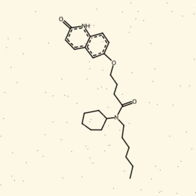 CCCCCCN(C(=O)CCCOc1ccc2[nH]c(=O)ccc2c1)C1CCCCC1